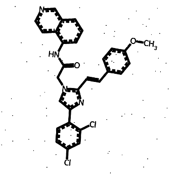 COc1ccc(/C=C/c2nc(-c3ccc(Cl)cc3Cl)cn2CC(=O)Nc2cccc3cnccc23)cc1